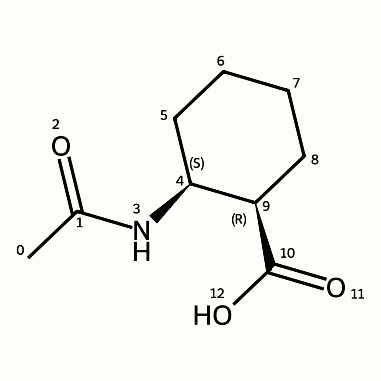 CC(=O)N[C@H]1CCCC[C@H]1C(=O)O